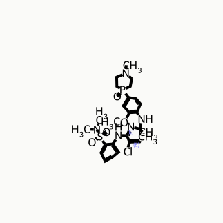 C/C=C(Cl)\C(=N/C(C)Nc1ccc(P2(=O)CCN(C)CC2)cc1OC)Nc1ccccc1S(=O)(=O)N(C)C